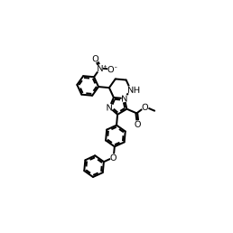 COC(=O)c1c(-c2ccc(Oc3ccccc3)cc2)nc2n1NCCC2c1ccccc1[N+](=O)[O-]